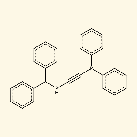 C(#CP(c1ccccc1)c1ccccc1)PC(c1ccccc1)c1ccccc1